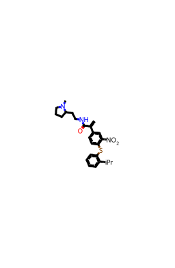 C=C(C(=O)NCCC1CCCN1C)c1ccc(Sc2ccccc2C(C)C)c([N+](=O)[O-])c1